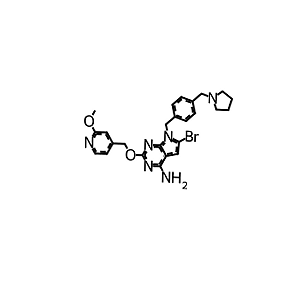 COc1cc(COc2nc(N)c3cc(Br)n(Cc4ccc(CN5CCCC5)cc4)c3n2)ccn1